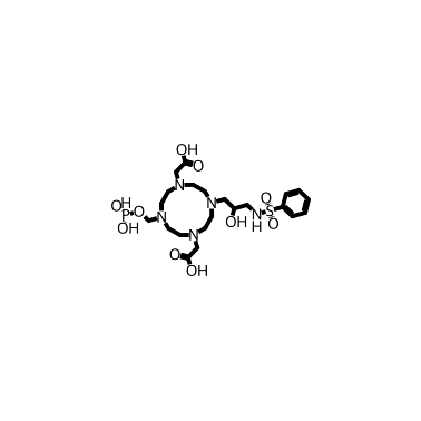 O=C(O)CN1CCN(CO[PH](=O)O)CCN(CC(=O)O)CCN(CC(O)CNS(=O)(=O)c2ccccc2)CC1